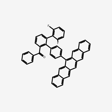 O=C(c1ccccc1)c1cccc(-c2c(F)cccc2F)c1-c1ccc(-c2c3cc4ccccc4cc3cc3cc4ccccc4cc23)cc1